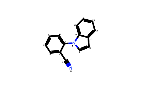 N#Cc1ccccc1-n1ccc2ccccc21